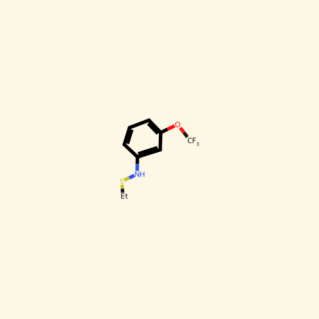 CCSNc1cccc(OC(F)(F)F)c1